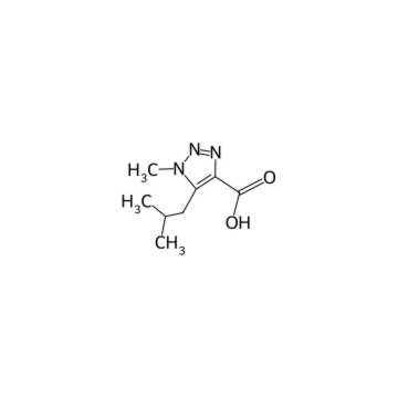 CC(C)Cc1c(C(=O)O)nnn1C